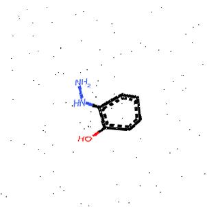 NNc1ccccc1O